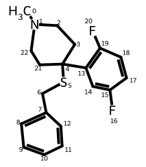 CN1CCC(SCc2ccccc2)(c2cc(F)ccc2F)CC1